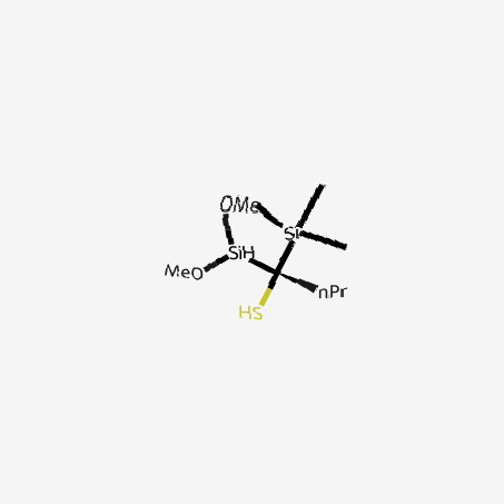 CCC[C@@](S)([SiH](OC)OC)[Si](C)(C)C